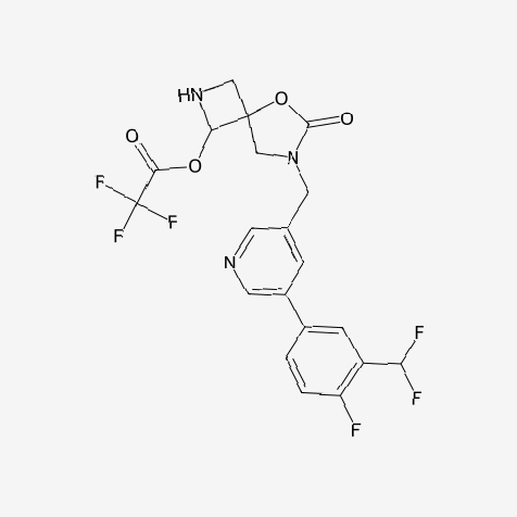 O=C1OC2(CNC2OC(=O)C(F)(F)F)CN1Cc1cncc(-c2ccc(F)c(C(F)F)c2)c1